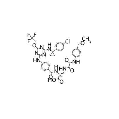 COCc1ccc(NC(=O)C(=O)NC[C@H](NC(=O)c2ccc(Nc3nc(NC4(c5ccc(Cl)cc5)CC4)nc(OCC(F)(F)F)n3)cc2)C(=O)O)cc1